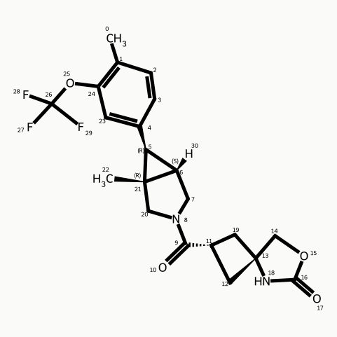 Cc1ccc([C@H]2[C@@H]3CN(C(=O)[C@H]4C[C@]5(COC(=O)N5)C4)C[C@@]32C)cc1OC(F)(F)F